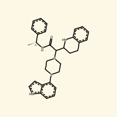 C[C@@H](NC(=O)C(C1CCc2ccccc2N1)N1CCN(c2cccc3[nH]ccc23)CC1)c1ccccc1